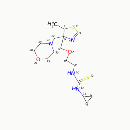 CC1SC=NC1(COCCNC(=S)NC1CC1)CN1CCOCC1